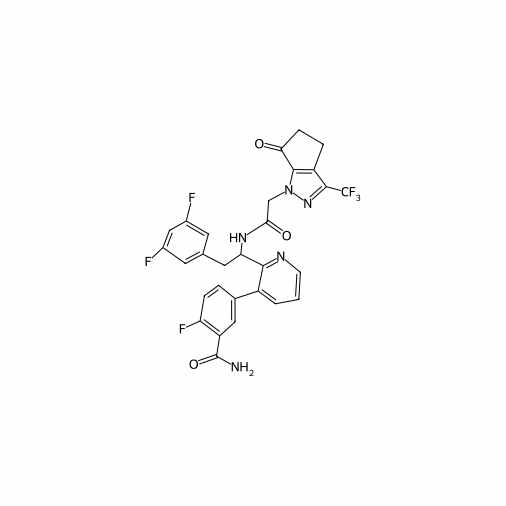 NC(=O)c1cc(-c2cccnc2C(Cc2cc(F)cc(F)c2)NC(=O)Cn2nc(C(F)(F)F)c3c2C(=O)CC3)ccc1F